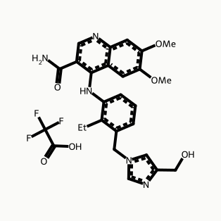 CCc1c(Cn2cnc(CO)c2)cccc1Nc1c(C(N)=O)cnc2cc(OC)c(OC)cc12.O=C(O)C(F)(F)F